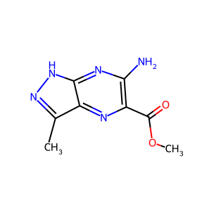 COC(=O)c1nc2c(C)n[nH]c2nc1N